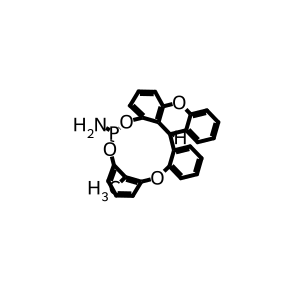 Cc1c2cccc1OP(N)Oc1cccc3c1[C@@H](c1ccccc1O2)c1ccccc1O3